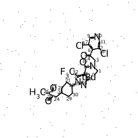 CC(C)(C)CN(CC(=O)c1c(Cl)cncc1Cl)C(=O)c1cnn(C2CCC(CS(C)(=O)=O)CC2)c1C(F)(F)F